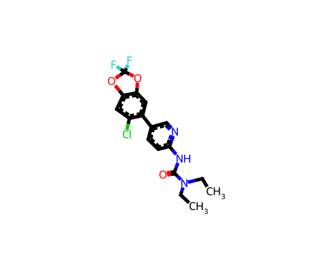 CCN(CC)C(=O)Nc1ccc(-c2cc3c(cc2Cl)OC(F)(F)O3)cn1